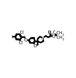 CC(C)(C)OC(=O)CCN1CCC2(CC1)COc1cc(OCc3c(Cl)cc(I)cc3Cl)ccc12